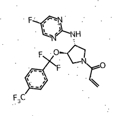 C=CC(=O)N1C[C@@H](Nc2ncc(F)cn2)[C@H](OC(F)(F)c2ccc(C(F)(F)F)cc2)C1